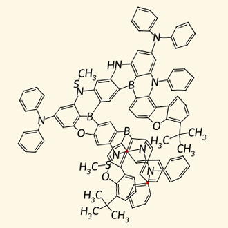 CSN1c2cc3c(cc2B2c4cc5c(cc4Oc4cc(N(c6ccccc6)c6ccccc6)cc1c42)N(SC)c1cc(N(c2ccccc2)c2ccccc2)cc2c1B5c1ccc4oc5c(C(C)(C)C)cccc5c4c1N2c1ccccc1)B1c2ccc4oc5c(C(C)(C)C)cccc5c4c2N(c2ccccc2)c2cc(N(c4ccccc4)c4ccccc4)cc(c21)N3